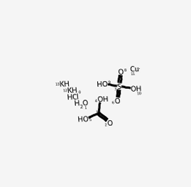 Cl.O.O=C(O)O.O=S(=O)(O)O.[Cu].[KH].[KH]